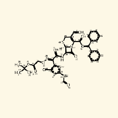 C=CC1=C(C(=O)OC(c2ccccc2)c2ccccc2)N2C(=O)C(NC(=O)/C(=N/OCC(=O)OC(C)(C)C)c3nc(NC=O)sc3Cl)[C@H]2SC1